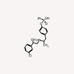 CC(Cc1ccc(OP(=O)(O)C(C)C)cc1)NCC(O)c1cccc(Cl)c1